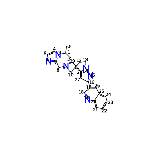 CC(C)n1ccnc1CN1CC2(CCn3nc(-c4cnc5ccccc5c4)cc32)C1